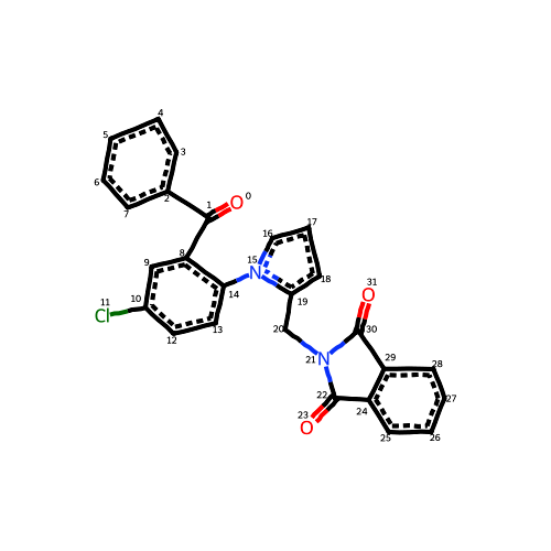 O=C(c1ccccc1)c1cc(Cl)ccc1-n1cccc1CN1C(=O)c2ccccc2C1=O